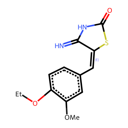 CCOc1ccc(/C=C2/SC(=O)NC2=N)cc1OC